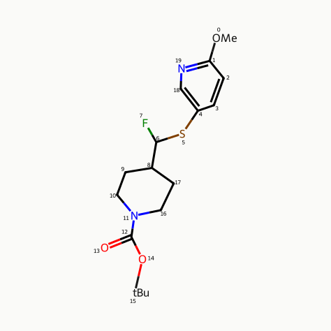 COc1ccc(SC(F)C2CCN(C(=O)OC(C)(C)C)CC2)cn1